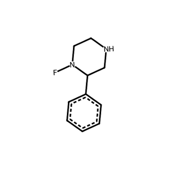 FN1CCNCC1c1ccccc1